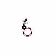 C=CC(=O)NCc1ccc2c(c1)OCCOCCOCCOCCO2